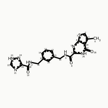 Cc1csc2nc(C(=O)NCc3cccc(CNC(=O)c4nc[nH]n4)c3)[nH]c(=O)c12